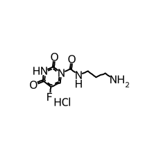 Cl.NCCCNC(=O)n1cc(F)c(=O)[nH]c1=O